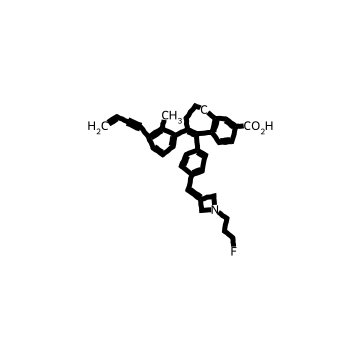 C=CC#Cc1cccc(C2=C(c3ccc(C=C4CN(CCCF)C4)cc3)c3ccc(C(=O)O)cc3CCC2)c1C